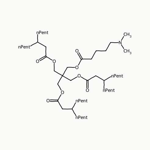 CCCCCC(CCCCC)CC(=O)OCC(COC(=O)CCCCN(C)C)(COC(=O)CC(CCCCC)CCCCC)COC(=O)CC(CCCCC)CCCCC